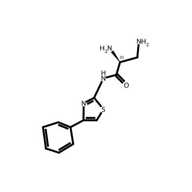 NC[C@H](N)C(=O)Nc1nc(-c2ccccc2)cs1